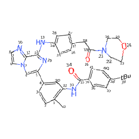 Cc1ccc(-c2cn3ccnc3c(Nc3ccc(CC(=O)N4CCOCC4)cc3)n2)cc1NC(=O)c1ccc(C(C)(C)C)cc1